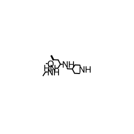 C=C(CC(CNNCC)NCC1CCNCC1)OC